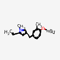 C=Cc1cc(Cc2ccc(OCCCC)c(C)c2)cn1C